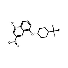 O=[N+]([O-])c1cc2c(O[C@H]3CC[C@H](C(F)(F)F)CC3)cccc2[n+]([O-])c1